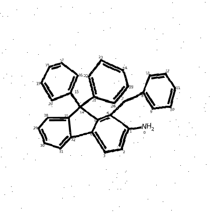 Nc1ccc2c(c1Cc1ccccc1)C(c1ccccc1)(c1ccccc1)c1ccccc1-2